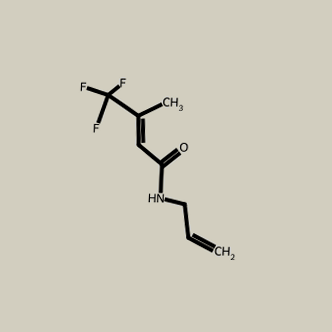 C=CCNC(=O)/C=C(\C)C(F)(F)F